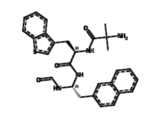 CC(C)(N)C(=O)N[C@H](Cc1csc2ccccc12)C(=O)N[C@H](Cc1ccc2ccccc2c1)NC=O